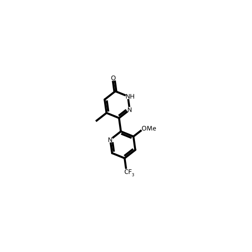 COc1cc(C(F)(F)F)cnc1-c1n[nH]c(=O)cc1C